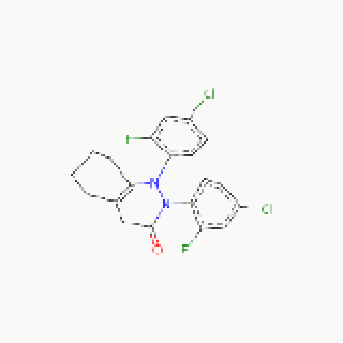 O=C1CC2=C(CCCC2)N(c2ccc(Cl)cc2F)N1c1ccc(Cl)cc1F